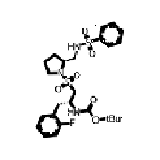 CC(C)(C)OC(=O)N[C@H](Cc1ccccc1F)CS(=O)(=O)N1CCC[C@H]1CNS(=O)(=O)c1ccccc1